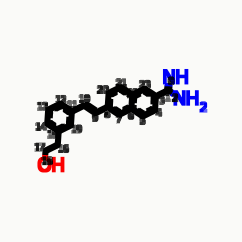 N=C(N)c1ccc2cc(/C=C/c3cccc(CCO)c3)ccc2c1